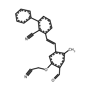 Cc1cc(C=O)c(OCC#N)cc1/C=C/c1cccc(-c2ccccc2)c1C#N